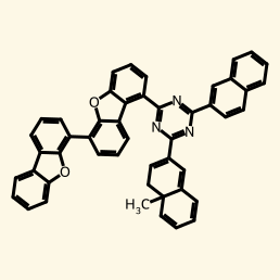 CC12C=CC=CC1=CC(c1nc(-c3ccc4ccccc4c3)nc(-c3cccc4oc5c(-c6cccc7c6oc6ccccc67)cccc5c34)n1)=CC2